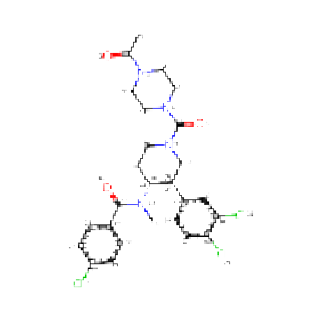 CC(=O)N1CCN(C(=O)N2CC[C@@H](N(C)C(=O)c3ccc(Cl)cc3)[C@H](c3ccc(Cl)c(Cl)c3)C2)CC1